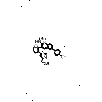 Cc1ccc(-c2ccc3nc(NC(C)(C)C)c(C4=C(c5cc(CC(C)(C)C)ncn5)CCCO4)cc3c2)cc1